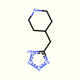 C1CC(Cc2nnn[nH]2)CC[N]1